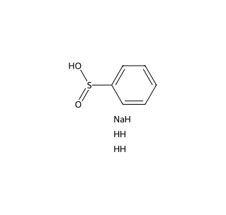 O=S(O)c1ccccc1.[HH].[HH].[NaH]